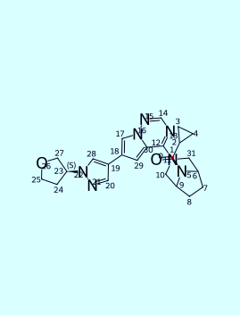 O=C(C1CC1)N1C2CCC1CN(c1ncnn3cc(-c4cnn([C@H]5CCOC5)c4)cc13)C2